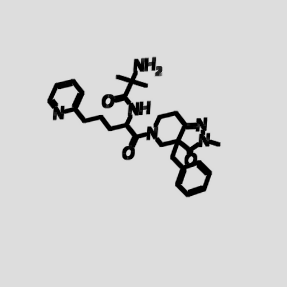 CN1N=C2CCN(C(=O)C(CCCc3ccccn3)NC(=O)C(C)(C)N)CC2(Cc2ccccc2)C1=O